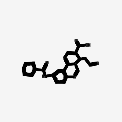 O=CCC1C(C(=O)O)=CN=C2c3cc(NC(=O)c4ccccc4)ccc3N=CN21